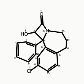 O=C1C(O)C2(c3ccccc3)c3cc(Cl)ccc3CCCN12